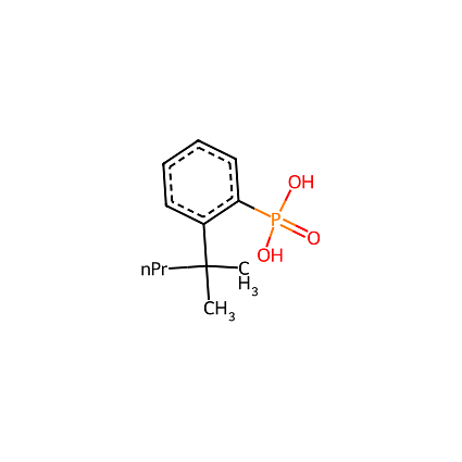 CCCC(C)(C)c1ccccc1P(=O)(O)O